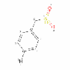 [2H]c1ccc(C[SH](=O)=O)cc1